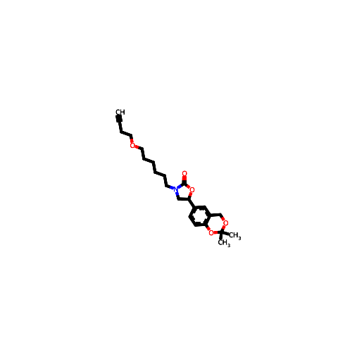 C#CCCOCCCCCCN1CC(c2ccc3c(c2)COC(C)(C)O3)OC1=O